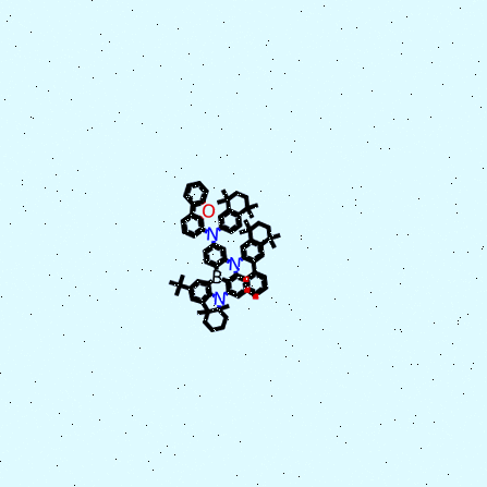 Cc1cc2c3c(c1)N1c4c(cc(C(C)(C)C)cc4C4(C)CCCCC14C)B3c1ccc(N(c3ccc4c(c3)C(C)(C)CCC4(C)C)c3cccc4c3oc3ccccc34)cc1N2c1cc2c(cc1-c1ccccc1)C(C)(C)CCC2(C)C